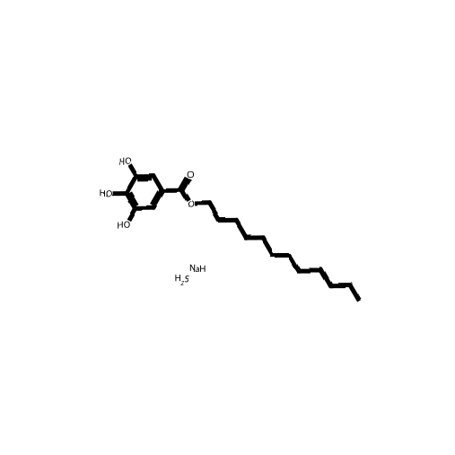 CCCCCCCCCCCCOC(=O)c1cc(O)c(O)c(O)c1.S.[NaH]